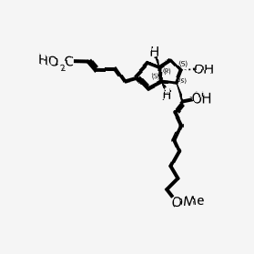 COCCCCCCC=C(O)[C@H]1[C@@H]2C=C(CCC=CC(=O)O)C[C@@H]2C[C@@H]1O